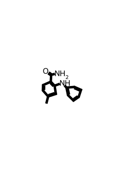 Cc1ccc(C(N)=O)c(Nc2ccccc2)c1